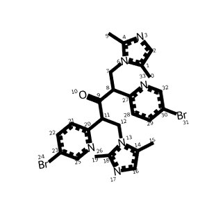 Cc1cnc(C)n1CC(C(=O)C(Cn1c(C)cnc1C)c1ccc(Br)cn1)c1ccc(Br)cn1